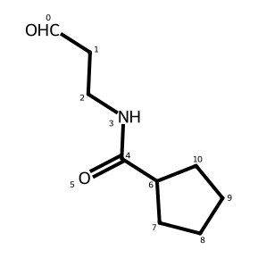 O=CCCNC(=O)C1CCCC1